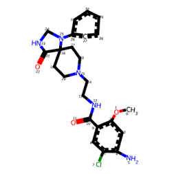 COc1cc(N)c(Cl)cc1C(=O)NCCN1CCC2(CC1)C(=O)NCN2c1ccccc1